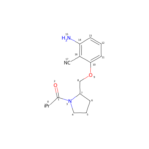 CC(C)C(=O)N1CCCC1COc1cccc(N)c1C#N